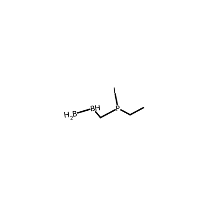 BBCP(I)CC